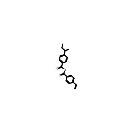 C=Cc1ccc(C(=O)OC(=O)c2ccc(C(C)CC)cc2)cc1